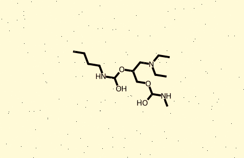 CCCCNC(O)OC(COC(O)NC)CN(CC)CC